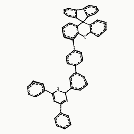 C1=C(c2ccccc2)NC(c2cccc(-c3ccc(-c4cccc5c4Oc4ccccc4C54c5ccccc5-c5ccccc54)cc3)c2)N=C1c1ccccc1